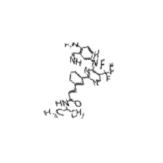 CC(C)NC(=O)/C=C/c1cccc(-c2ncc(C(F)(F)F)c(Nc3ccc(N)c(C=N)c3)n2)c1